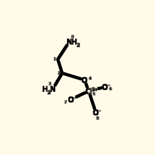 NCC(N)O[Cl+3]([O-])([O-])[O-]